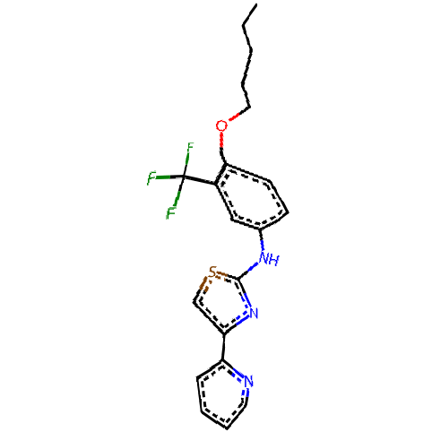 CCCCCOc1ccc(Nc2nc(-c3ccccn3)cs2)cc1C(F)(F)F